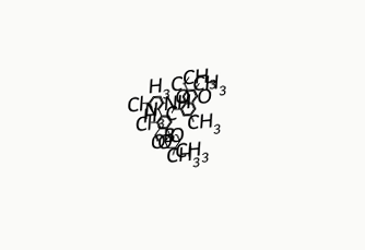 Cc1cc(C(C)Nc2ccc(Cl)nc2-c2ccc(B3OCC(C)(C)CO3)c(C=O)c2Cl)c2oc(C(C)C)c(C)c(=O)c2c1